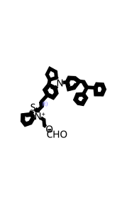 O=COCC[n+]1c(/C=C/c2ccc3c(c2)C2CCCC2N3c2ccc(C=C(c3ccccc3)c3ccccc3)cc2)sc2ccccc21